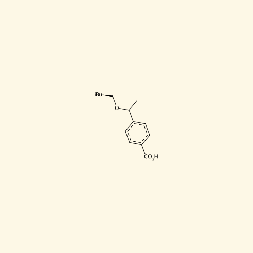 CC[C@H](C)COC(C)c1ccc(C(=O)O)cc1